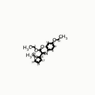 CCOC(=O)C(=Nc1ccc(OCC)cc1)c1cccn1C